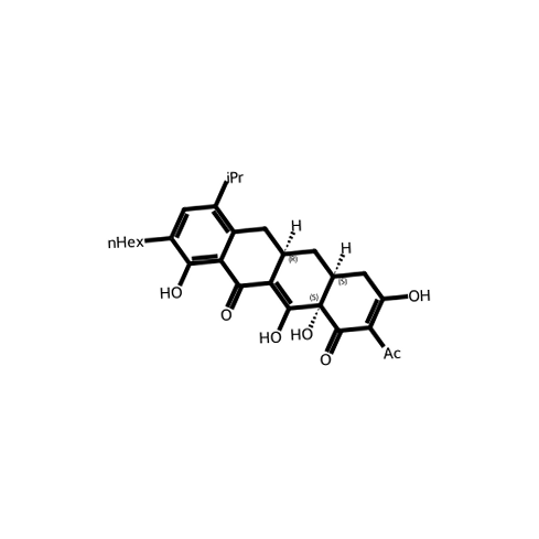 CCCCCCc1cc(C(C)C)c2c(c1O)C(=O)C1=C(O)[C@]3(O)C(=O)C(C(C)=O)=C(O)C[C@@H]3C[C@@H]1C2